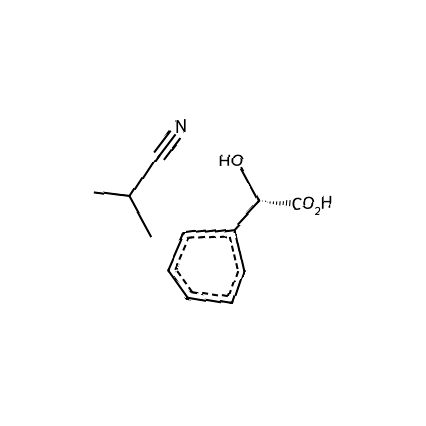 CC(C)C#N.O=C(O)[C@@H](O)c1ccccc1